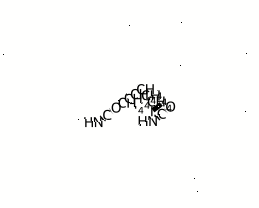 C.C.C.C.C.C.CI.N=C=O.N=C=O